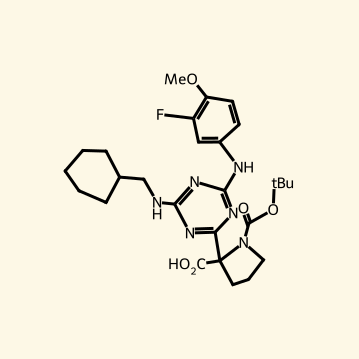 COc1ccc(Nc2nc(NCC3CCCCC3)nc(C3(C(=O)O)CCCN3C(=O)OC(C)(C)C)n2)cc1F